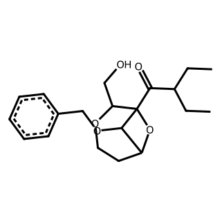 CCC(CC)C(=O)C12OC(CCOC1CO)C2OCc1ccccc1